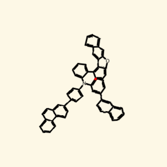 c1cc(-c2ccc3ccccc3c2)cc(N(c2ccc(-c3ccc4c(ccc5ccccc54)c3)cc2)c2ccccc2-c2cccc3oc4cc5ccccc5cc4c23)c1